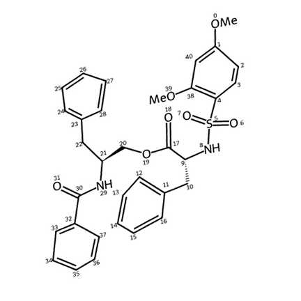 COc1ccc(S(=O)(=O)N[C@H](Cc2ccccc2)C(=O)OC[C@H](Cc2ccccc2)NC(=O)c2ccccc2)c(OC)c1